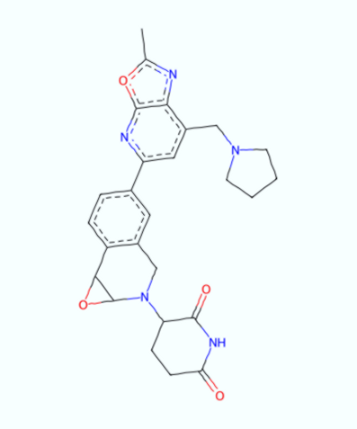 Cc1nc2c(CN3CCCC3)cc(-c3ccc4c(c3)CN(C3CCC(=O)NC3=O)C3OC43)nc2o1